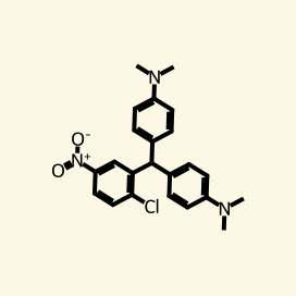 CN(C)c1ccc(C(c2ccc(N(C)C)cc2)c2cc([N+](=O)[O-])ccc2Cl)cc1